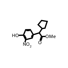 COC(=O)C(c1ccc(O)c([N+](=O)[O-])c1)C1CCCC1